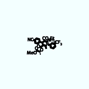 CCOC(=O)C1=C(N)N(c2cccc(C(F)(F)F)c2)C(C)=C(C(=O)O[C@H](C)C(=O)OC)C1c1ccc(C#N)cc1